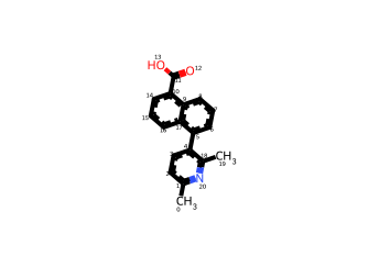 Cc1ccc(-c2cccc3c(C(=O)O)cccc23)c(C)n1